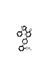 Cc1ccccc1N1CCC(n2ccc(=O)c(-c3ccnn3-c3ccccc3)n2)CC1